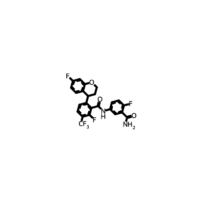 NC(=O)c1cc(NC(=O)c2c(C3CCOc4cc(F)ccc43)ccc(C(F)(F)F)c2F)ccc1F